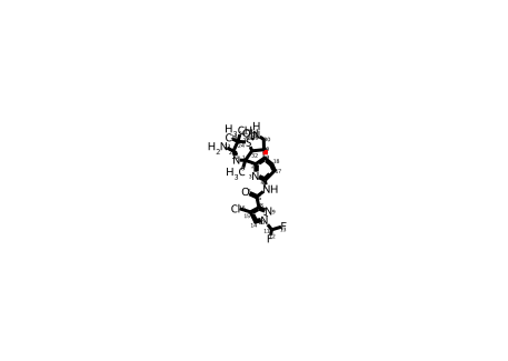 CC1(c2nc(NC(=O)c3nn(C(F)F)cc3Cl)ccc2F)N=C(N)C(C)(C)S2(O)NCCC12